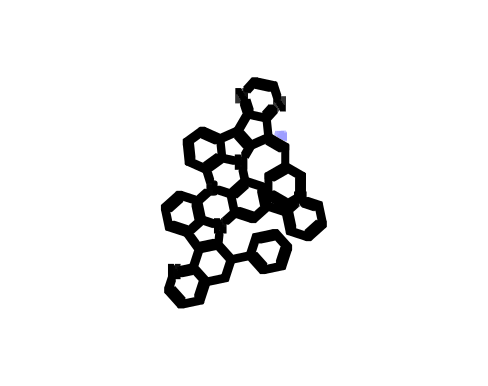 C(=C1\c2nccnc2-c2c1n1c3c(cccc23)B2c3c-1cc(-c1ccccn1)cc3-n1c3c(c4cccc2c41)-c1ncccc1CC3c1ccccc1)/c1ccccc1